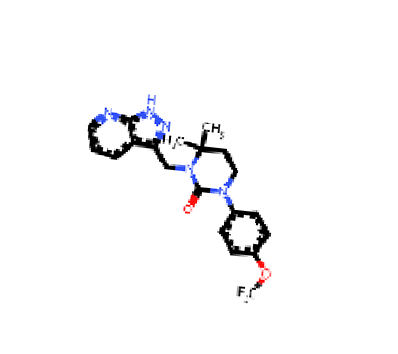 CC1(C)CCN(c2ccc(OC(F)(F)F)cc2)C(=O)N1Cc1n[nH]c2ncccc12